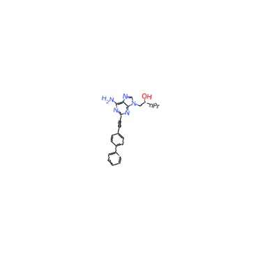 CCCC(O)Cn1cnc2c(N)nc(C#Cc3ccc(-c4ccccc4)cc3)nc21